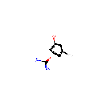 Cc1cccc(O)c1.NC(N)=O